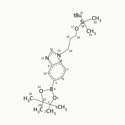 CC1(C)OB(c2ccc3c(c2)ncn3CCCO[Si](C)(C)C(C)(C)C)OC1(C)C